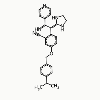 CC(C)c1ccc(COc2ccc(C(C(=N)c3ccncc3)=C3NCCN3)c(C#N)c2)cc1